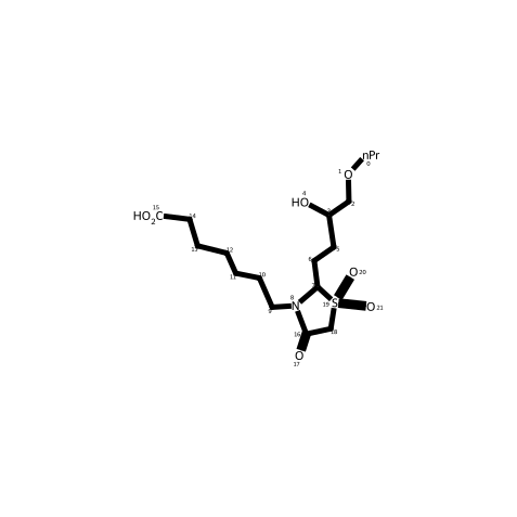 CCCOCC(O)CCC1N(CCCCCCC(=O)O)C(=O)CS1(=O)=O